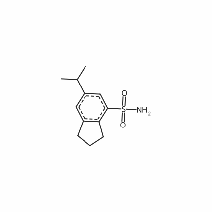 CC(C)c1cc2c(c(S(N)(=O)=O)c1)CCC2